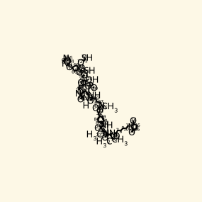 CC(C)C(NC(=O)CCCCCN1C(=O)C=CC1=O)C(=O)N[C@@H](C)C(=O)Nc1ccc(COC(=O)N(C)CCCC(=O)Nc2nc3c(ncn3[C@@H]3O[C@H](COP(=O)(S)O[C@H]4C[C@H](Oc5ccncn5)C[C@@H]4COCS)[C@@H](O)[C@H]3OP=O)c(=O)[nH]2)cc1